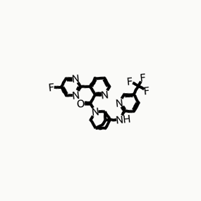 O=C(c1ncccc1-c1ncc(F)cn1)N1CC2CCC1C(Nc1ccc(C(F)(F)F)cn1)C2